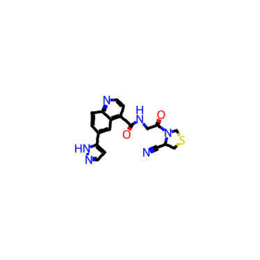 N#CC1CSCN1C(=O)CNC(=O)c1ccnc2ccc(-c3ccn[nH]3)cc12